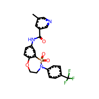 Cc1cncc(C(=O)Nc2ccc3c(c2)S(=O)(=O)N(c2ccc(C(F)(F)F)cc2)CCO3)c1